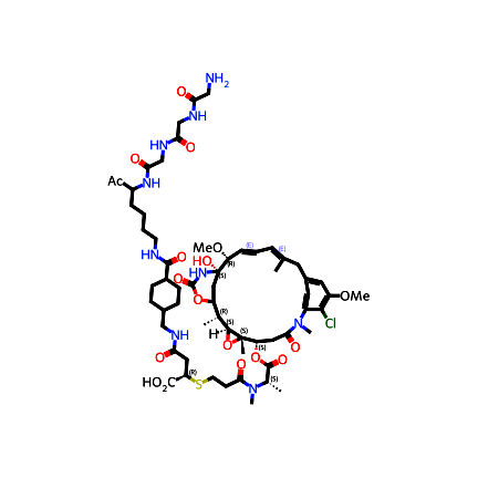 COc1cc2cc(c1Cl)N(C)C(=O)C[C@H](OC(=O)[C@H](C)N(C)C(=O)CCS[C@H](CC(=O)NCC1CCC(C(=O)NCCCCC(NC(=O)CNC(=O)CNC(=O)CN)C(C)=O)CC1)C(=O)O)[C@]1(C)O[C@H]1[C@H](C)C1C[C@@](O)(NC(=O)O1)[C@H](OC)/C=C/C=C(\C)C2